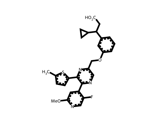 COc1cc(-c2ncc(COc3cccc(C(CC(=O)O)C4CC4)c3)nc2-c2ccc(C)s2)c(F)cn1